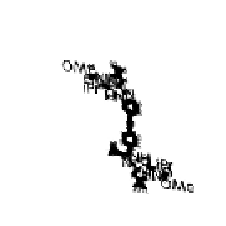 COC(=O)N[C@H](C(=O)N1CC2(CC2)C[C@H]1c1nc(C2CC2)c(-c2ccc(C#Cc3ccc4nc([C@@H]5CC6(CC6)CN5C(=O)[C@@H](NC(=O)OC)C(C)C)[nH]c4c3)cc2)[nH]1)C(C)C